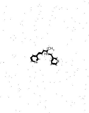 CC(CC=Cc1cccnc1)NCc1cccnc1